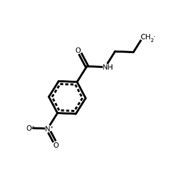 [CH2]CCNC(=O)c1ccc([N+](=O)[O-])cc1